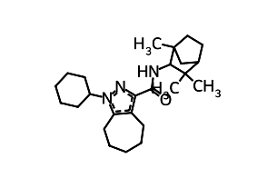 CC12CCC(C1)C(C)(C)C2NC(=O)c1nn(C2CCCCC2)c2c1CCCCC2